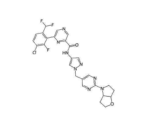 O=C(Nc1cnn(Cc2cnc(N3CCC4OCCC43)nc2)c1)c1cncc(-c2c(C(F)F)ccc(Cl)c2F)n1